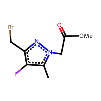 COC(=O)Cn1nc(CBr)c(I)c1C